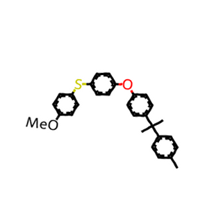 COc1ccc(Sc2ccc(Oc3ccc(C(C)(C)c4ccc(C)cc4)cc3)cc2)cc1